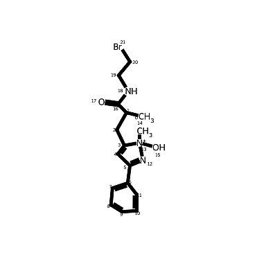 CC(CC1=CC(c2ccccc2)=N[N+]1(C)O)C(=O)NCCBr